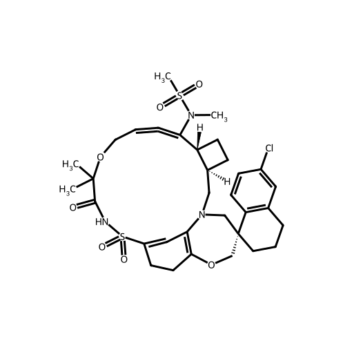 CN(C1=C=CCOC(C)(C)C(=O)NS(=O)(=O)C2=CC3=C(CC2)OC[C@]2(CCCc4cc(Cl)ccc42)CN3C[C@@H]2CC[C@@H]12)S(C)(=O)=O